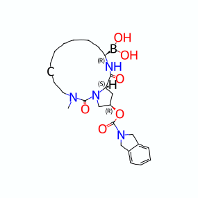 CN1CCCCCCCCC[C@@H](B(O)O)NC(=O)[C@@H]2C[C@@H](OC(=O)N3Cc4ccccc4C3)CN2C1=O